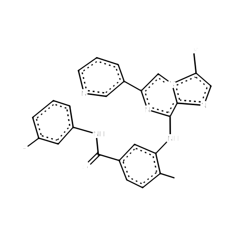 Cc1ccc(C(=O)Nc2cccc(F)c2)cc1Nc1nc(-c2cccnc2)cn2c(Br)cnc12